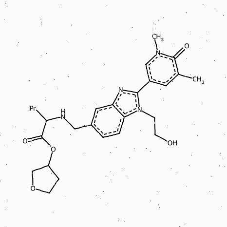 Cc1cc(-c2nc3cc(CNC(C(=O)OC4CCOC4)C(C)C)ccc3n2CCO)cn(C)c1=O